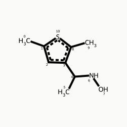 Cc1cc(C(C)NO)c(C)s1